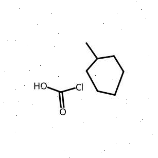 CC1CCCCC1.O=C(O)Cl